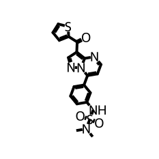 CN(C)S(=O)(=O)Nc1cccc(-c2ccnc3c(C(=O)c4cccs4)cnn23)c1